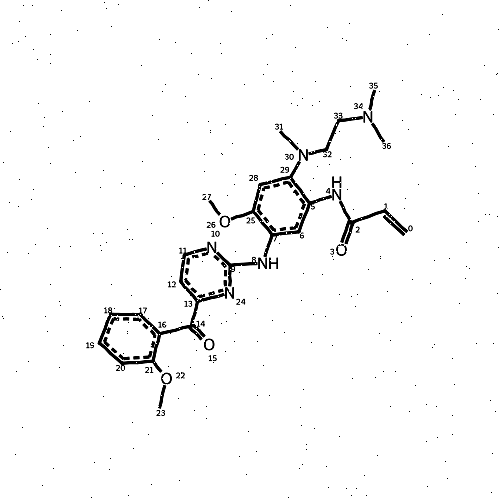 C=CC(=O)Nc1cc(Nc2nccc(C(=O)c3ccccc3OC)n2)c(OC)cc1N(C)CCN(C)C